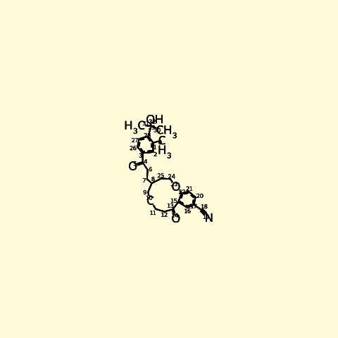 Cc1cc(C(=O)CCC2CCCCC(=O)c3cc(C#N)ccc3OCC2)ccc1C(C)(C)O